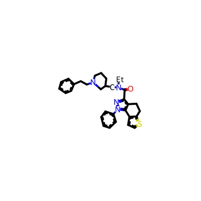 CCN(CC1CCCN(CCc2ccccc2)C1)C(=O)c1nn(-c2ccccc2)c2c1CCc1sccc1-2